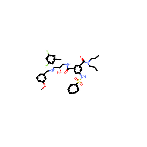 CCCN(CCC)C(=O)c1cc(NS(=O)(=O)c2ccccc2)cc(C(=O)N[C@@H](Cc2cc(F)cc(F)c2)[C@H](O)CNCc2cccc(OC)c2)c1